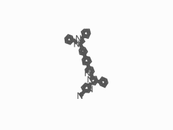 N#Cc1ccc(-c2cc(-c3ccccc3)cc(-c3ccc(-c4ccc(-c5ccc(-c6cc(-c7ccccc7)nc(-c7ccccc7)n6)cc5)cc4)cn3)n2)nc1